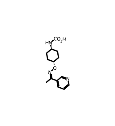 CC(=NO[C@H]1CC[C@H](NC(=O)O)CC1)c1cccnc1